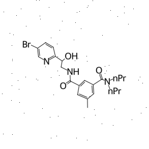 CCCN(CCC)C(=O)c1cc(C)cc(C(=O)NCC(O)c2ccc(Br)cn2)c1